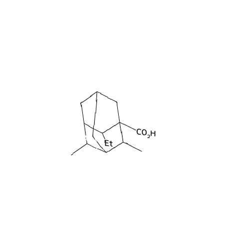 CCC1C2CC3CC(C2C)C(C)C1(C(=O)O)C3